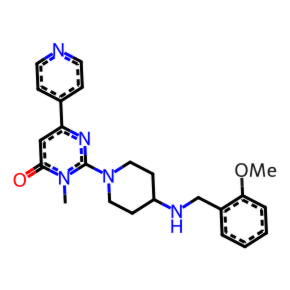 COc1ccccc1CNC1CCN(c2nc(-c3ccncc3)cc(=O)n2C)CC1